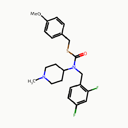 COc1ccc(CSC(=O)N(Cc2ccc(F)cc2F)C2CCN(C)CC2)cc1